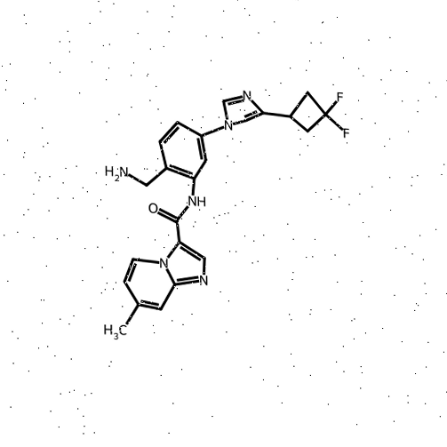 Cc1ccn2c(C(=O)Nc3cc(-n4cnc(C5CC(F)(F)C5)c4)ccc3CN)cnc2c1